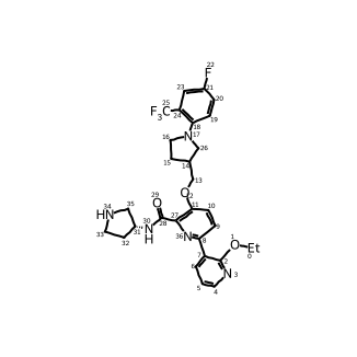 CCOc1ncccc1-c1ccc(OCC2CCN(c3ccc(F)cc3C(F)(F)F)C2)c(C(=O)N[C@@H]2CCNC2)n1